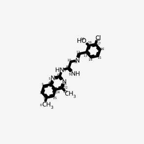 Cc1ccc2nc(NC(=N)C/N=C/c3cccc(Cl)c3O)nc(C)c2c1